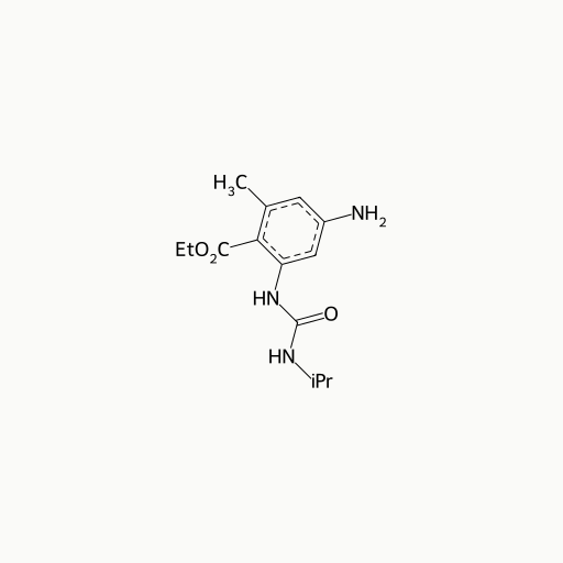 CCOC(=O)c1c(C)cc(N)cc1NC(=O)NC(C)C